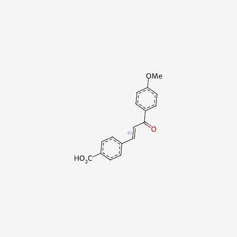 COc1ccc(C(=O)/C=C/c2ccc(C(=O)O)cc2)cc1